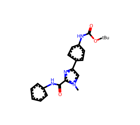 Cn1cc(-c2ccc(NC(=O)OC(C)(C)C)cc2)nc1C(=O)Nc1ccccc1